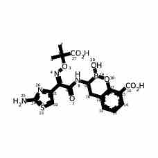 CC(C)(ON=C(C(=O)NC1Cc2cccc(C(=O)O)c2OB1O)c1csc(N)n1)C(=O)O